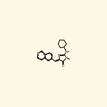 CN1C(=O)/C(=C/c2ccc3cnccc3c2)N=C1NC1CCCCC1